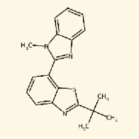 Cn1c(-c2cccc3nc(C(C)(C)C)sc23)nc2ccccc21